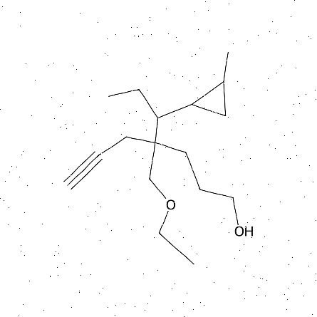 C#CCC(CCCO)(COCC)C(CC)C1CC1C